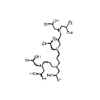 CCC(O)CN(CCCN(CCCN(CC(O)CC)CC(O)CC)CC(O)CC)CCCN(CC(O)CC)CC(O)CC